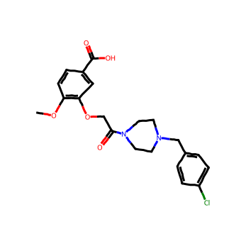 COc1ccc(C(=O)O)cc1OCC(=O)N1CCN(Cc2ccc(Cl)cc2)CC1